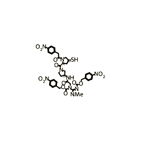 CNC(=NC(=O)OCc1ccc([N+](=O)[O-])cc1)N(CC(=O)N[C@H]1CCN(C(=O)[C@@H]2C[C@H](S)CN2C(=O)Cc2ccc([N+](=O)[O-])cc2)C1)C(=O)OCc1ccc([N+](=O)[O-])cc1